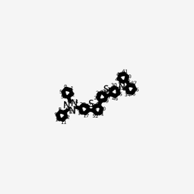 c1ccc(-c2nc(-c3ccccc3)nc(-c3ccc4c(c3)sc3c(-c5ccc6sc7cc(-n8c9ccccc9c9ccccc98)ccc7c6c5)cccc34)n2)cc1